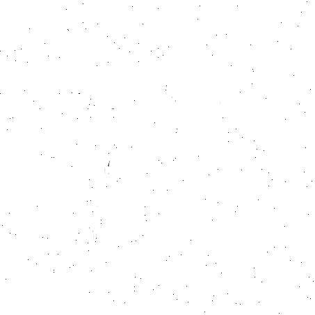 CC(C)(C)OC(=O)N1CCC(O[C@H]2C[C@H](N3CCC4(CC3)CNC4)C2)CC1